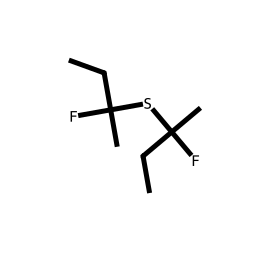 CCC(C)(F)SC(C)(F)CC